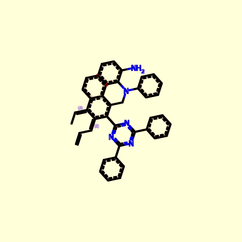 C=C/C=c1/c(-c2nc(-c3ccccc3)nc(-c3ccccc3)n2)c(CN(c2ccccc2)c2ccccc2N)c2ccccc2/c1=C/C